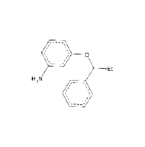 CCC(Oc1cccc(N)c1)c1ccccc1